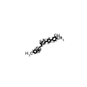 Cc1ccc(S(=O)(=O)OCCc2csc3nc(-c4ccc(-c5ccc(C)c(C)c5)cc4)cn23)cc1